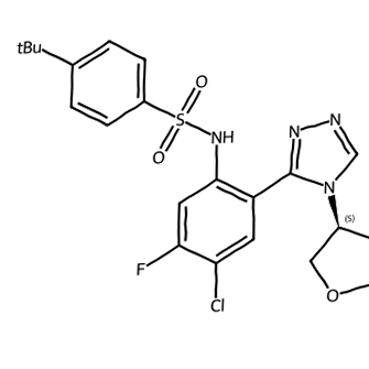 CC(C)(C)c1ccc(S(=O)(=O)Nc2cc(F)c(Cl)cc2-c2nncn2[C@H]2CCOC2)cc1